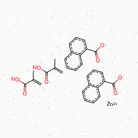 C=C(C)C(=O)O.C=C(C)C(=O)O.O=C([O-])c1cccc2ccccc12.O=C([O-])c1cccc2ccccc12.[Zn+2]